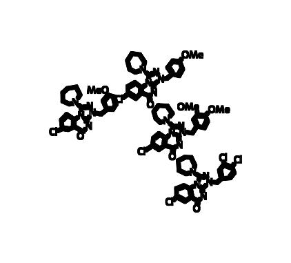 COc1ccc(Cn2nc(N3CCCCCC3)n3c4ccc(Cl)cc4c(=O)nc23)cc1.COc1ccc(Cn2nc(N3CCCCCC3)n3c4ccc(Cl)cc4c(=O)nc23)cc1OC.COc1cccc(Cn2nc(N3CCCCCC3)n3c4ccc(Cl)cc4c(=O)nc23)c1.O=c1nc2n(Cc3ccc(Cl)c(Cl)c3)nc(N3CCCCCC3)n2c2ccc(Cl)cc12